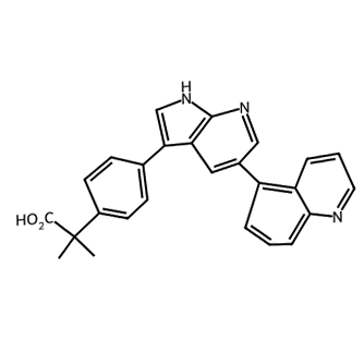 CC(C)(C(=O)O)c1ccc(-c2c[nH]c3ncc(-c4cccc5ncccc45)cc23)cc1